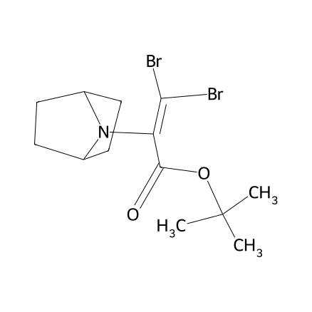 CC(C)(C)OC(=O)C(=C(Br)Br)N1C2CCC1CC2